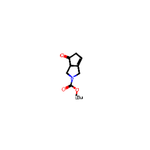 CC(C)(C)OC(=O)N1CC2=CCC(=O)C2C1